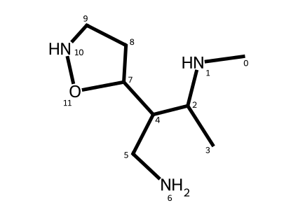 CNC(C)C(CN)C1CCNO1